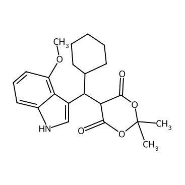 COc1cccc2[nH]cc(C(C3CCCCC3)C3C(=O)OC(C)(C)OC3=O)c12